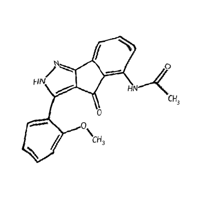 COc1ccccc1-c1[nH]nc2c1C(=O)c1c(NC(C)=O)cccc1-2